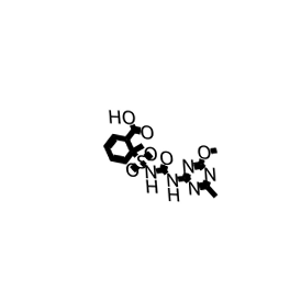 COc1nc(C)nc(NC(=O)NS(=O)(=O)C2(C)C=CC=CC2C(=O)O)n1